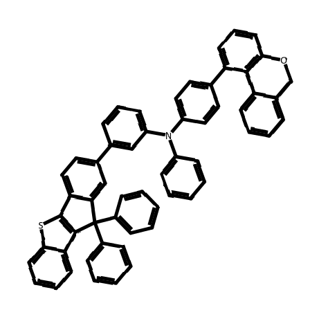 c1ccc(N(c2ccc(-c3cccc4c3-c3ccccc3CO4)cc2)c2cccc(-c3ccc4c(c3)C(c3ccccc3)(c3ccccc3)c3c-4sc4ccccc34)c2)cc1